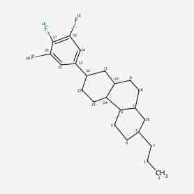 CCCC1CCC2C(CCC3CC(c4cc(F)c(F)c(F)c4)CCC32)C1